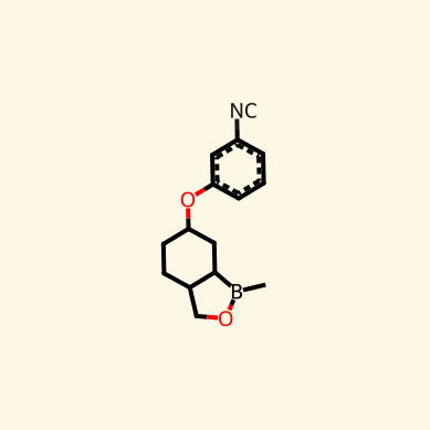 [C-]#[N+]c1cccc(OC2CCC3COB(C)C3C2)c1